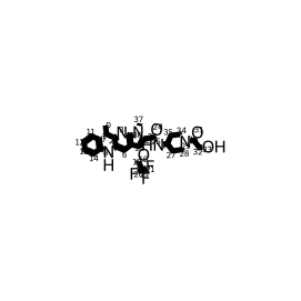 CCc1nc2c(cc1Nc1ccccc1)c(OCC(F)(F)F)c(C(=O)NC1CCN(C(=O)CO)CC1)n2C